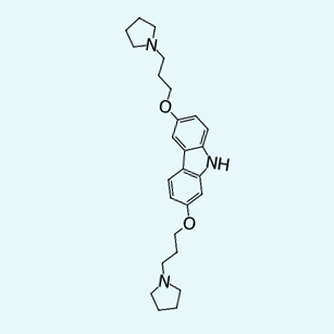 c1cc2c(cc1OCCCN1CCCC1)[nH]c1ccc(OCCCN3CCCC3)cc12